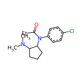 CCC(=O)N(c1ccc(Cl)cc1)C1CCCC1N(C)C